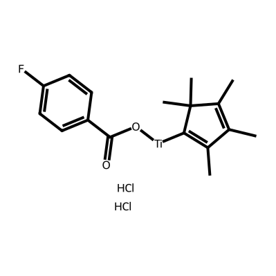 CC1=C(C)C(C)(C)[C]([Ti][O]C(=O)c2ccc(F)cc2)=C1C.Cl.Cl